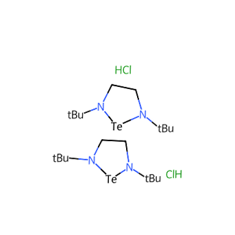 CC(C)(C)N1CCN(C(C)(C)C)[Te]1.CC(C)(C)N1CCN(C(C)(C)C)[Te]1.Cl.Cl